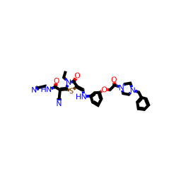 CCn1c(=C(C#N)C(=O)NCC#N)sc(=CNc2cccc(OCC(=O)N3CCN(Cc4ccccc4)CC3)c2)c1=O